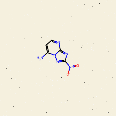 Nc1ccnc2nc([N+](=O)[O-])nn12